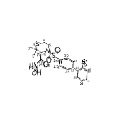 CC1(C)SCCN(S(=O)(=O)c2ccc(-c3ccccc3Br)cc2)[C@H]1C(=O)NO